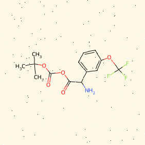 CC(C)(C)OC(=O)OC(=O)C(N)c1cccc(OC(F)(F)F)c1